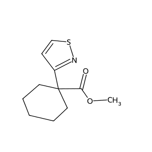 COC(=O)C1(c2ccsn2)CCCCC1